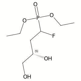 CCOP(=O)(OCC)C(F)C[C@H](O)CO